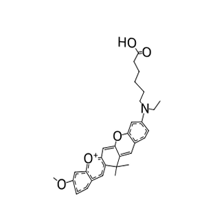 CCN(CCCCCC(=O)O)c1ccc2c(c1)OC1=Cc3[o+]c4cc(OC)ccc4cc3C(C)(C)C1=C2